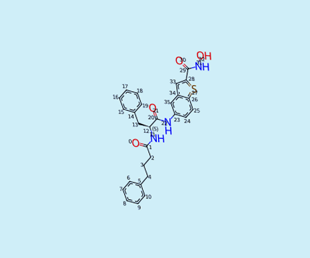 O=C(CCCc1ccccc1)N[C@@H](Cc1ccccc1)C(=O)Nc1ccc2sc(C(=O)NO)cc2c1